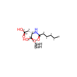 CCCCCC(=O)N[C@@H](CC(=O)O)C(=O)O.[NaH].[NaH]